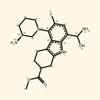 COC(=O)C1CCc2c([nH]c3c(C(N)O)cc(F)c(N4CCC[C@H](N)C4)c23)C1